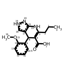 CCCC1=C(C(=O)O)C(c2ccccc2OC)c2c[nH]nc2N1